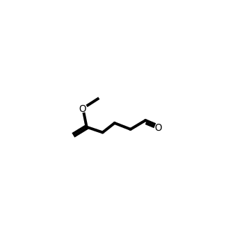 C=C(CCCC=O)OC